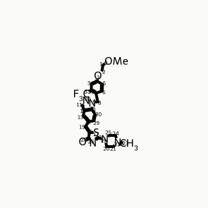 COCCOc1ccc(Cn2ncc3cc(/C=C4\SC(N5CCN(C)CC5)=NC4=O)ccc32)c(C(F)(F)F)c1